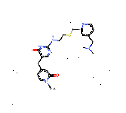 CCCCn1ccc(Cc2cnc(NCCSCc3cc(CN(C)C)ccn3)[nH]c2=O)cc1=O